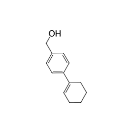 OCc1ccc(C2=CCCCC2)cc1